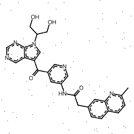 Cc1ccc2ccc(CC(=O)Nc3cncc(C(=O)c4cn(C(CO)CO)c5ncncc45)c3)cc2n1